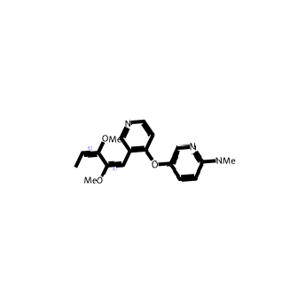 C/C=C(OC)\C(=C/c1cnccc1Oc1ccc(NC)nc1)OC